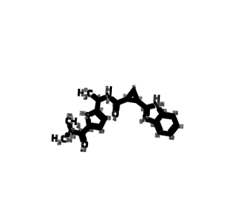 CC(NC(=O)C1CC1c1nc2ccccc2[nH]1)c1ccc(C(=O)N(C)C)s1